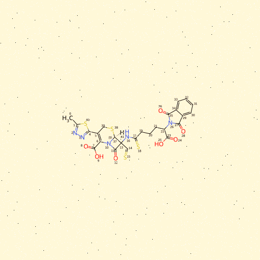 Cc1nnc(C2=C(C(=O)O)N3C(=O)C(C=S)(NC(=S)CCCC(C(=O)O)N4C(=O)c5ccccc5C4=O)[C@@H]3SC2)s1